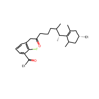 CCC(=O)c1cccc(CC(=O)CCCC(C)[C@@H](C)C2=C(C)C[C@H](CC)CC2C)c1F